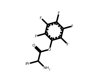 CC(C)C(N)C(=O)Oc1c(F)c(F)c(F)c(F)c1F